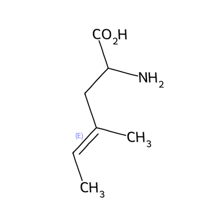 C/C=C(\C)CC(N)C(=O)O